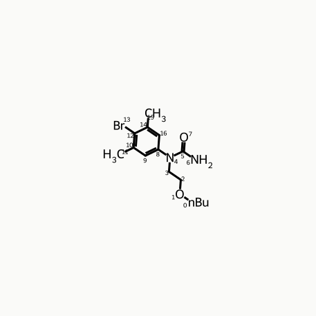 CCCCOCCN(C(N)=O)c1cc(C)c(Br)c(C)c1